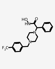 O=C(NO)C(c1ccccc1)N1CCN(Cc2ccc(C(F)(F)F)cc2)CC1